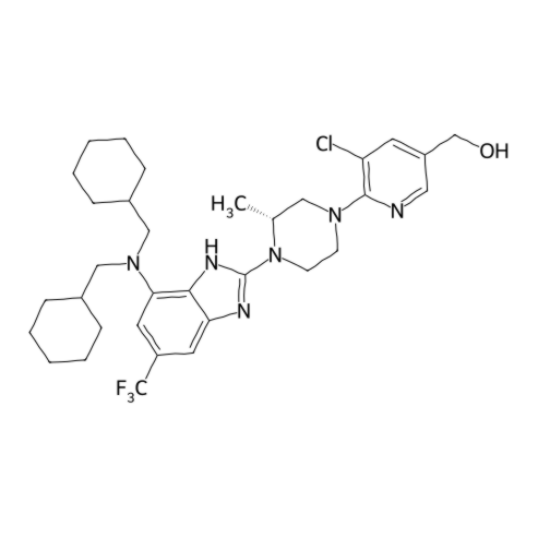 C[C@@H]1CN(c2ncc(CO)cc2Cl)CCN1c1nc2cc(C(F)(F)F)cc(N(CC3CCCCC3)CC3CCCCC3)c2[nH]1